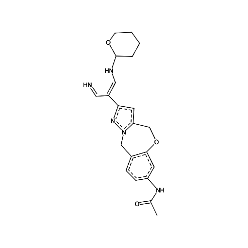 CC(=O)Nc1ccc2c(c1)OCc1cc(/C(C=N)=C/NC3CCCCO3)nn1C2